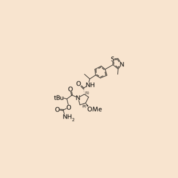 CO[C@@H]1C[C@@H](C(=O)NC(C)c2ccc(-c3scnc3C)cc2)N(C(=O)C(OC(N)=O)C(C)(C)C)C1